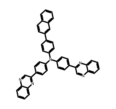 c1ccc2cc(-c3ccc(N(c4ccc(-c5cnc6ccccc6n5)cc4)c4ccc(-c5cnc6ccccc6n5)cc4)cc3)ccc2c1